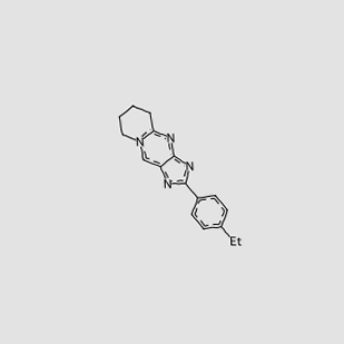 CCc1ccc(-c2nc3cn4c(nc-3n2)CCCC4)cc1